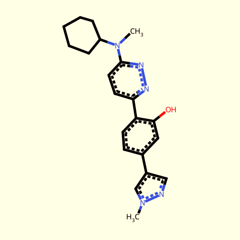 CN(c1ccc(-c2ccc(-c3cnn(C)c3)cc2O)nn1)C1CCCCC1